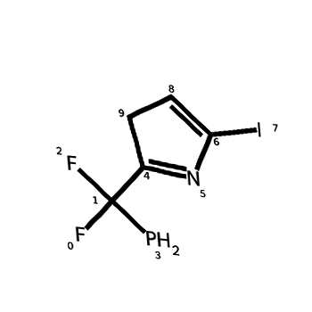 FC(F)(P)C1=NC(I)=CC1